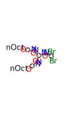 CCCCCCCCOc1ccc(-c2nnc(-c3cc(-c4nnc(-c5ccc(OCCCCCCCC)cc5)o4)cc(-c4nnc(-c5cc(Br)ccc5Br)o4)c3)o2)cc1